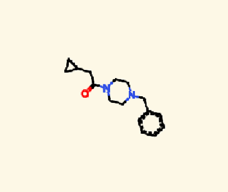 O=C(CC1CC1)N1CCN(Cc2ccccc2)CC1